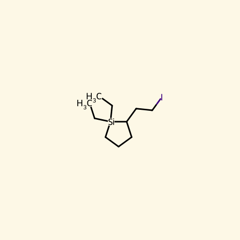 CC[Si]1(CC)CCCC1CCI